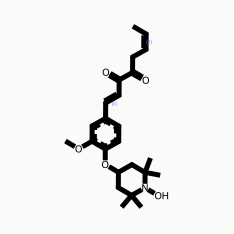 C/C=C\CC(=O)C(=O)/C=C/c1ccc(OC2CC(C)(C)N(O)C(C)(C)C2)c(OC)c1